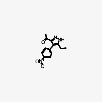 CCc1[nH]nc(C(C)=O)c1-c1ccc([N+](=O)[O-])cc1